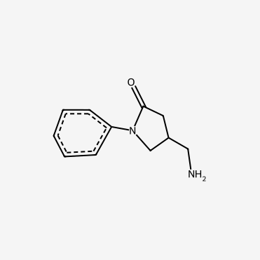 NCC1CC(=O)N(c2ccccc2)C1